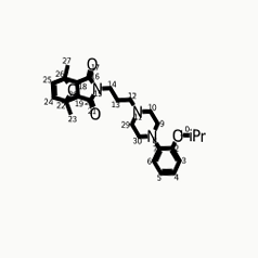 CC(C)Oc1ccccc1N1CCN(CCCN2C(=O)C3C(C2=O)C2(C)C=CC3(C)O2)CC1